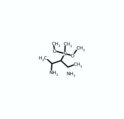 CCC(C(C)N)[Si](C)(OC)OC.N